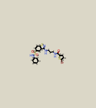 O=C(NCCCNc1nsc2ccc(S(=O)(=O)Nc3ccccc3)cc12)c1ccc(Br)s1